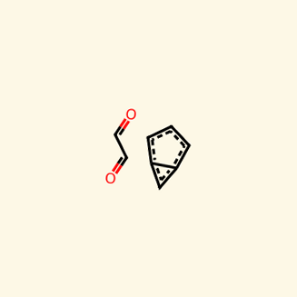 O=CC=O.c1cc2cc-2c1